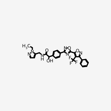 CCn1nccc1CNC(=O)C(O)c1ccc(-c2noc(-c3onc(-c4ccccc4)c3C(F)(F)F)n2)cc1